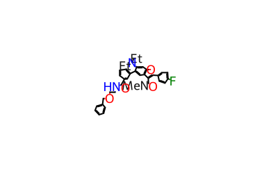 CCN(CC)c1cc2oc(-c3ccc(F)cc3)c(C(=O)NC)c2cc1-c1cccc(C(=O)NCCOCc2ccccc2)c1